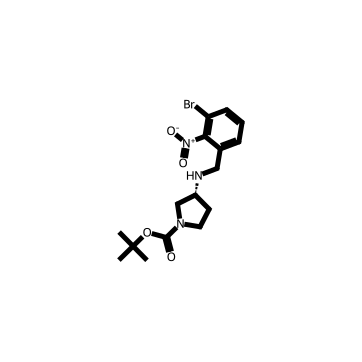 CC(C)(C)OC(=O)N1CC[C@@H](NCc2cccc(Br)c2[N+](=O)[O-])C1